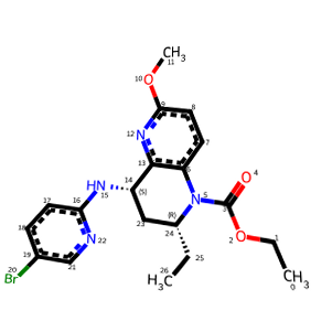 CCOC(=O)N1c2ccc(OC)nc2[C@@H](Nc2ccc(Br)cn2)C[C@H]1CC